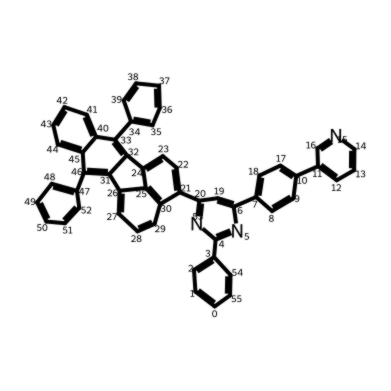 c1ccc(-c2nc(-c3ccc(-c4cccnc4)cc3)cc(-c3ccc4c5c(cccc35)-c3c-4c(-c4ccccc4)c4ccccc4c3-c3ccccc3)n2)cc1